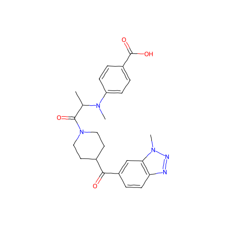 CC(C(=O)N1CCC(C(=O)c2ccc3nnn(C)c3c2)CC1)N(C)c1ccc(C(=O)O)cc1